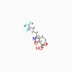 CCc1c(CCCC(F)(F)F)noc1C(=O)O